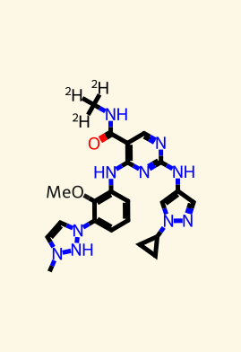 [2H]C([2H])([2H])NC(=O)c1cnc(Nc2cnn(C3CC3)c2)nc1Nc1cccc(N2C=CN(C)N2)c1OC